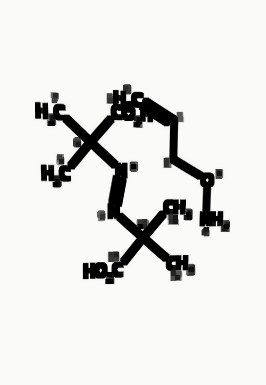 C=CCON.CC(C)(N=NC(C)(C)C(=O)O)C(=O)O